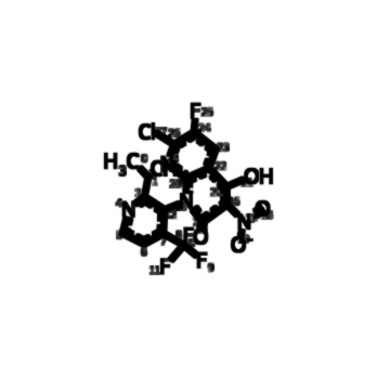 CC(C)c1nccc(C(F)(F)F)c1-n1c(=O)c([N+](=O)[O-])c(O)c2cc(F)c(Cl)nc21